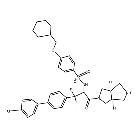 O=C(C(NS(=O)(=O)c1ccc(OCC2CCCCC2)cc1)C(F)(F)c1ccc(-c2ccc(Cl)cc2)cc1)N1C[C@H]2CNC[C@H]2C1